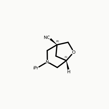 CC(C)N1C[C@@H]2C[C@@](C#N)(CO2)C1